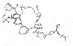 C=C/C(=C(\N=C/C)[C@H](C)OC)c1c2c3cc(ccc3n1CC(F)(F)F)-c1cccc(c1)C[C@H](NC(=O)[C@@H](COC1CN(C(=O)C#CC(C)(C)N(C)C)C1)C(C)C)C(=O)N1CCC[C@](C=O)(COCC(C)(C)C2)N1